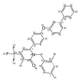 Cc1ccc(Cn2c(-c3ccc(Oc4cccc(-c5ccccc5)c4)cc3)cc(C(F)(F)F)c(C)c2=O)c(C)c1